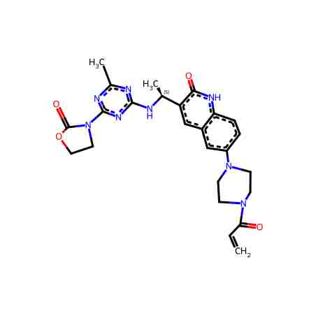 C=CC(=O)N1CCN(c2ccc3[nH]c(=O)c([C@H](C)Nc4nc(C)nc(N5CCOC5=O)n4)cc3c2)CC1